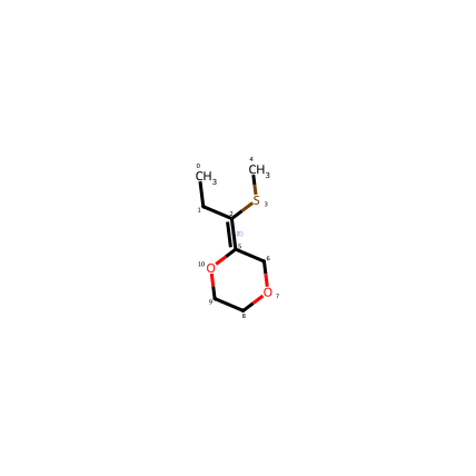 CC/C(SC)=C1/COCCO1